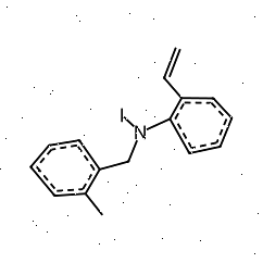 C=Cc1ccccc1N(I)Cc1ccccc1C